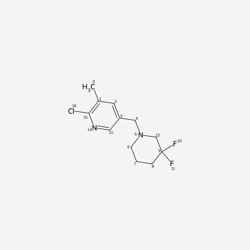 Cc1cc(CN2CCCC(F)(F)C2)cnc1Cl